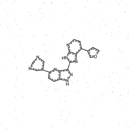 c1ncc(-c2ccc3[nH]nc(-c4nc5c(-c6ccoc6)ccnc5[nH]4)c3n2)cn1